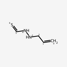 C=CCNN[C]=S